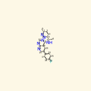 Cc1ccc([C@@H](C)Nc2ncnc3ncc(-c4ccc(F)cc4)cc23)nn1